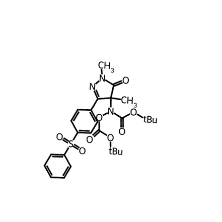 CN1N=C(c2ccc(S(=O)(=O)c3ccccc3)cc2)C(C)(N(OC(=O)OC(C)(C)C)C(=O)OC(C)(C)C)C1=O